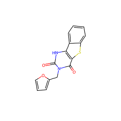 O=c1[nH]c2c(sc3ccccc32)c(=O)n1Cc1ccco1